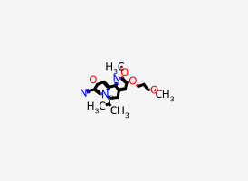 COCCCOc1cc2c(nc1OC)-c1cc(=O)c(C#N)cn1[C@H](C(C)C)C2